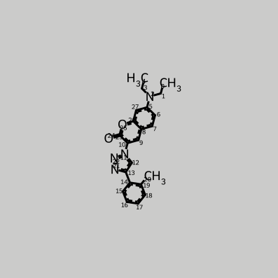 CCN(CC)c1ccc2cc(-n3cc(-c4ccccc4C)nn3)c(=O)oc2c1